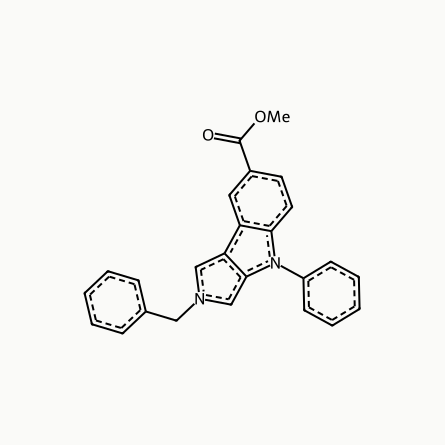 COC(=O)c1ccc2c(c1)c1cn(Cc3ccccc3)cc1n2-c1ccccc1